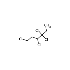 CCC(Cl)(Cl)C(Cl)CCCl